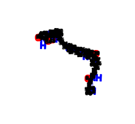 O=C(/C=C/c1cccnc1)NCCCCC1CCN(C(=O)c2ccc(N3CCC(N4CCN(CCCCNc5cccc6c5C(=O)N(C5CCC(=O)NC5=O)C6)CC4)CC3)nc2)CC1